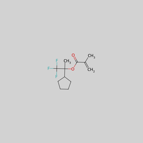 C=C(C)C(=O)OC(C)(C1CCCC1)C(F)(F)F